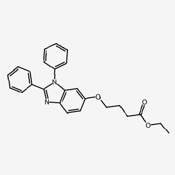 CCOC(=O)CCCOc1ccc2nc(-c3ccccc3)n(-c3ccccc3)c2c1